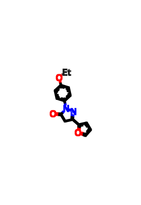 CCOc1ccc(N2N=C(c3ccco3)CC2=O)cc1